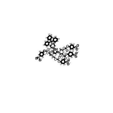 O=C(OCCN(CCOC(=O)Oc1ccc([N+](=O)[O-])cc1)C1=CC(N(CCOC(=O)Oc2ccc([N+](=O)[O-])cc2)CCOC(=O)Oc2ccc([N+](=O)[O-])cc2)=NN(N2CCN(C(c3ccccc3)(c3ccccc3)c3ccccc3)CC2)N1)Oc1ccc([N+](=O)[O-])cc1